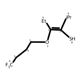 CC/C(OCCCC(F)(F)F)=C(/S)C(C)C